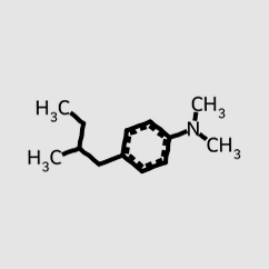 CCC(C)Cc1ccc(N(C)C)cc1